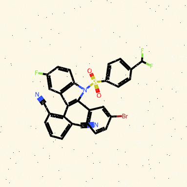 N#Cc1cccc(C#N)c1-c1c(-c2cccc(Br)c2)n(S(=O)(=O)c2ccc(C(F)F)cc2)c2ccc(F)cc12